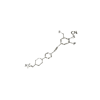 C=CC1CCC(c2ccc(C#Cc3cc(F)c(SC#N)c(CF)c3)cc2)CC1